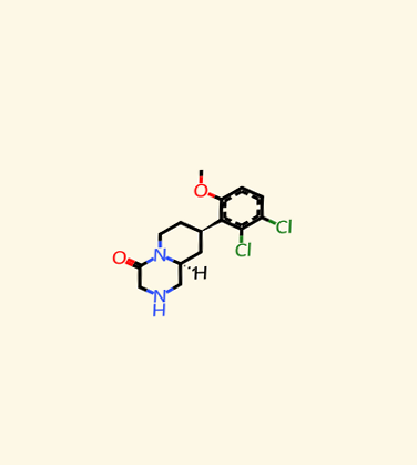 COc1ccc(Cl)c(Cl)c1[C@@H]1CCN2C(=O)CNC[C@@H]2C1